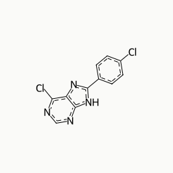 Clc1ccc(-c2nc3c(Cl)ncnc3[nH]2)cc1